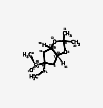 CSC1([S@+](C)[O-])C[C@@H]2OC(C)(C)O[C@H]2C1